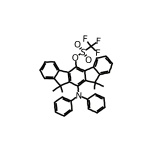 CC1(C)c2ccccc2-c2c(OS(=O)(=O)C(F)(F)F)c3c(c(N(c4ccccc4)c4ccccc4)c21)C(C)(C)c1ccccc1-3